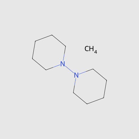 C.C1CCN(N2CCCCC2)CC1